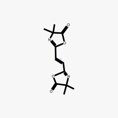 CC1(C)N=C(/C=C/C2=NC(C)(C)C(=O)O2)OC1=O